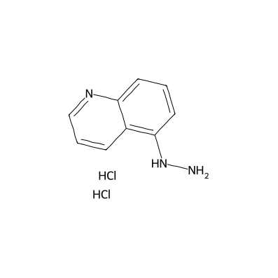 Cl.Cl.NNc1cccc2ncccc12